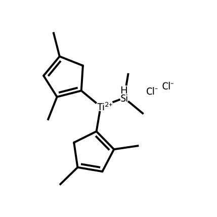 CC1=CC(C)=[C]([Ti+2]([C]2=C(C)C=C(C)C2)[SiH](C)C)C1.[Cl-].[Cl-]